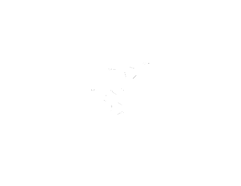 COc1ccc(CN2c3nc(SC)nc4c(F)c(Cl)nc(c34)OC[C@@H]2C)c(OC)c1